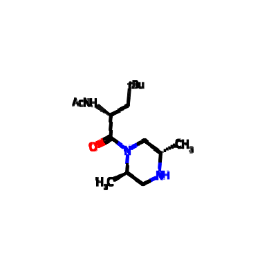 CC(=O)N[C@@H](CC(C)(C)C)C(=O)N1C[C@H](C)NC[C@H]1C